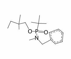 CCC(C)(C)COP(=O)(N(C)Cc1ccccc1)C(C)(C)C